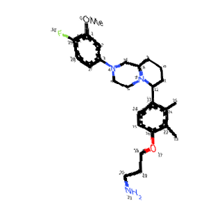 COc1cc(N2CCN3C(CCCC3c3ccc(OCCCN)c(C)c3C)C2)ccc1F